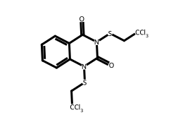 O=c1c2ccccc2n(SCC(Cl)(Cl)Cl)c(=O)n1SCC(Cl)(Cl)Cl